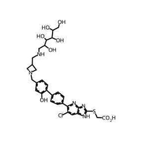 O=C(O)CSc1nc2nc(-c3ccc(-c4ccc(CN5CC(CNCC(O)C(O)C(O)C(O)CO)C5)cc4O)cc3)c(Cl)cc2[nH]1